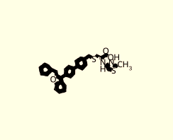 Cc1nc(N[C@@H](CSCc2ccc(-c3ccc(-c4c(Cc5ccccc5)oc5ccccc45)cc3)cc2)C(=O)O)cs1